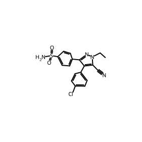 CCn1nc(-c2ccc(S(N)(=O)=O)cc2)c(-c2ccc(Cl)cc2)c1C#N